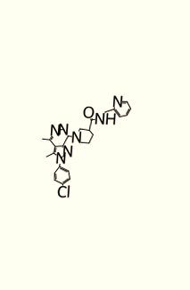 Cc1nnc(N2CCCC(C(=O)NCc3ccccn3)C2)c2nn(-c3ccc(Cl)cc3)c(C)c12